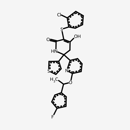 CC(Oc1cccc(C2(c3ccsc3)CC(O)=C(Sc3ccccc3Cl)C(=O)N2)n1)c1ccc(F)cc1